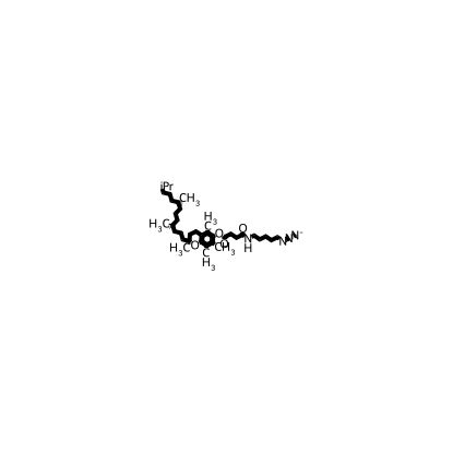 Cc1c(C)c2c(c(C)c1OC(=O)CCC(=O)NCCCCCN=[N+]=[N-])CC[C@@](C)(CCC[C@H](C)CCC[C@H](C)CCCC(C)C)O2